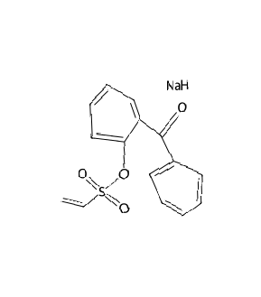 C=CS(=O)(=O)Oc1ccccc1C(=O)c1ccccc1.[NaH]